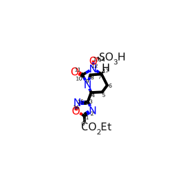 CCOC(=O)c1nc(C2CC[C@@H]3CN2C(=O)N3OS(=O)(=O)O)no1